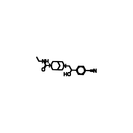 CCNC(=O)N1CC2CC(CN(CC(O)c3ccc(C#N)cc3)C2)C1